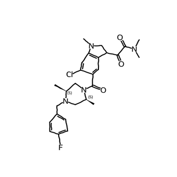 C[C@H]1CN(C(=O)c2cc3c(cc2Cl)N(C)CC3C(=O)C(=O)N(C)C)[C@@H](C)CN1Cc1ccc(F)cc1